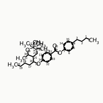 CCCCc1ccc(OC(=O)c2ccc(OC(CCCC)C3C[Si](C)(C)[Si](C)(C)OC3C)cc2)cc1